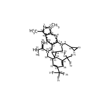 Cc1nn(C)c2nc(N(CC3CC3)CC3CC3)c(CN(CC3C=C(C(F)(F)F)C=C(C(F)(F)F)C3)C(=N)NI)cc12